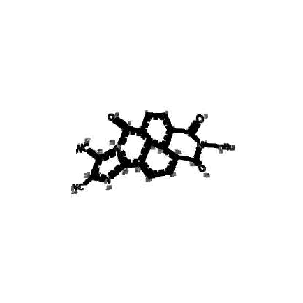 CCCCN1C(=O)c2ccc3c(=O)n4c(C#N)c(C#N)nc4c4ccc(c2c34)C1=O